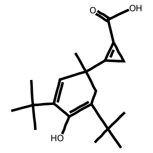 CC(C)(C)C1=CC(C)(C2=C(C(=O)O)C2)CC(C(C)(C)C)=C1O